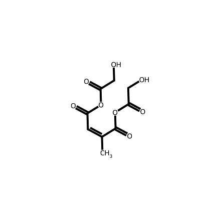 C/C(=C/C(=O)OC(=O)CO)C(=O)OC(=O)CO